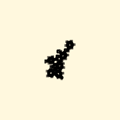 Cc1ccc(C(NCCN(Cc2ccc(OCc3ccccc3)c(Cl)c2)C(=O)c2ccc(F)cc2)(c2ccccc2)c2ccccc2)cc1